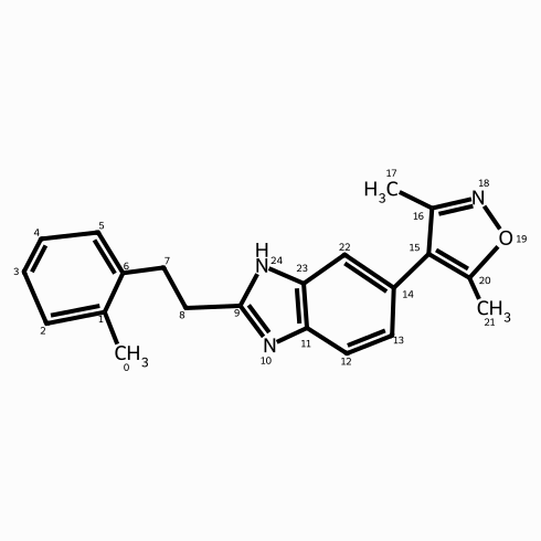 Cc1ccccc1CCc1nc2ccc(-c3c(C)noc3C)cc2[nH]1